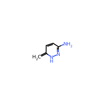 C=C1C=CC(N)=NN1